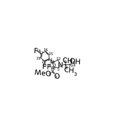 COC(=O)[C@]1(F)CN(C(C)(C)CO)C[C@H]1c1ccc(F)cc1F